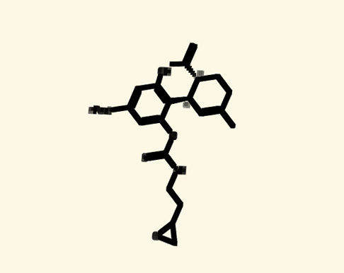 C=C(C)[C@@H]1CCC(C)=C[C@H]1c1c(O)cc(CCCCC)cc1OC(=S)NCCC1CO1